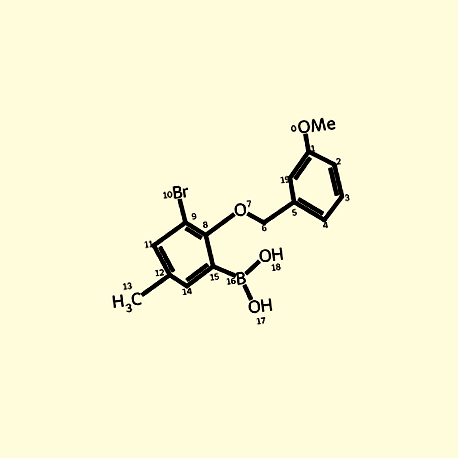 COc1cccc(COc2c(Br)cc(C)cc2B(O)O)c1